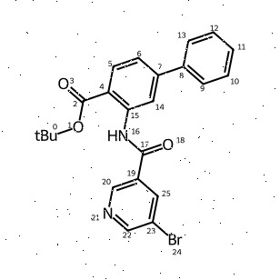 CC(C)(C)OC(=O)c1ccc(-c2ccccc2)cc1NC(=O)c1cncc(Br)c1